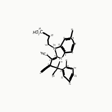 C=C(/C(C#N)=C1\Sc2ccc(C)cc2N1CCC(=O)O)C(C)(C)c1ccccc1C